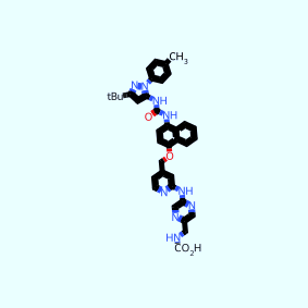 Cc1ccc(-n2nc(C(C)(C)C)cc2NC(=O)Nc2ccc(OCc3ccnc(Nc4cnc(CNC(=O)O)cn4)c3)c3ccccc23)cc1